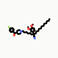 CCCCCCCCCCCCC(C#N)(CCCCCCN1CCC(C(=O)c2ccc(F)cc2)CC1)c1ccc(OC)c(OC)c1